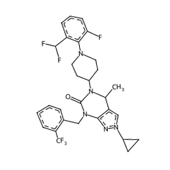 CC1c2cn(C3CC3)nc2N(Cc2ccccc2C(F)(F)F)C(=O)N1C1CCN(c2c(F)cccc2C(F)F)CC1